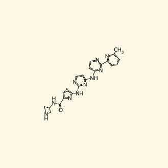 Cc1cccc(-c2nccc(Nc3ccnc(Nc4nc(C(=O)NC5CNC5)cs4)n3)n2)n1